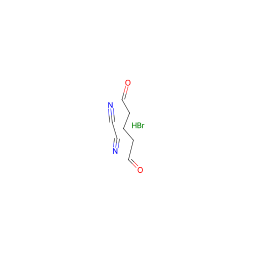 Br.N#CC#N.O=CCCCC=O